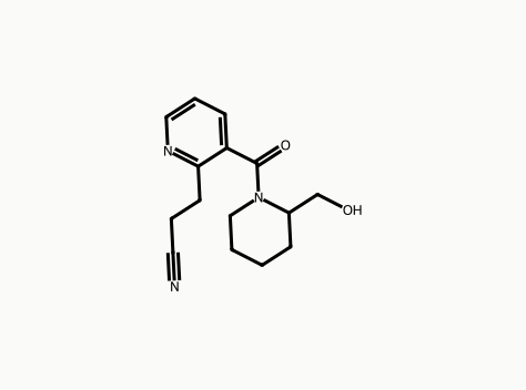 N#CCCc1ncccc1C(=O)N1CCCCC1CO